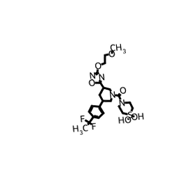 COCCOc1noc(C2CC(c3ccc(C(C)(F)F)cc3)CN(C(=O)N3CCS(O)(O)CC3)C2)n1